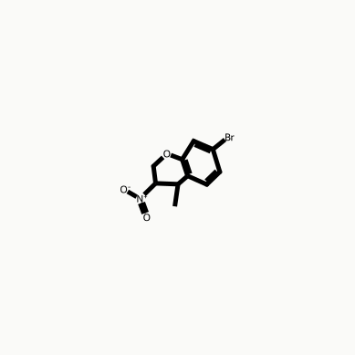 CC1c2ccc(Br)cc2OCC1[N+](=O)[O-]